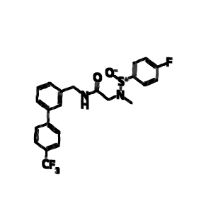 CN(CC(=O)NCc1cccc(-c2ccc(C(F)(F)F)cc2)c1)[S+]([O-])c1ccc(F)cc1